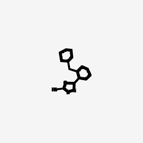 Sc1nnc(-c2ccccc2Cc2ccccc2)o1